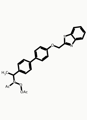 CC(=O)OON(C(C)=O)C(C)c1ccc(-c2ccc(OCc3nc4ccccc4s3)cc2)cc1